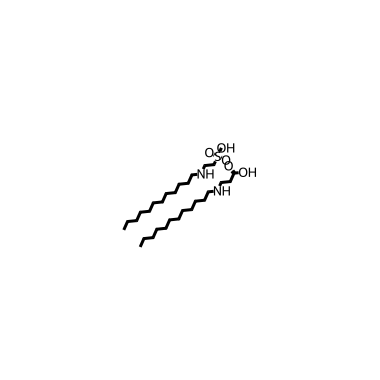 CCCCCCCCCCCCNCCC(=O)O.CCCCCCCCCCCCNCCS(=O)(=O)O